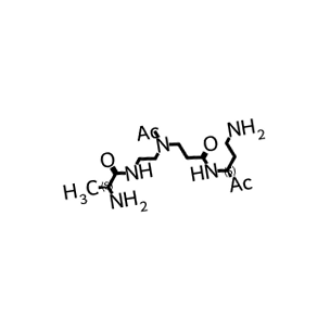 CC(=O)[C@H](CCN)NC(=O)CCN(CCNC(=O)[C@H](C)N)C(C)=O